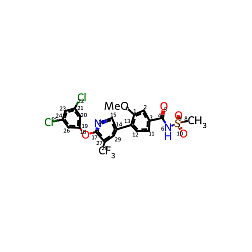 COc1cc(C(=O)NS(C)(=O)=O)ccc1-c1cnc(Oc2cc(Cl)cc(Cl)c2)c(C(F)(F)F)c1